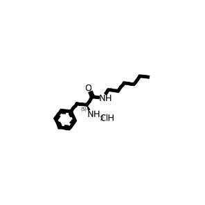 CCCCCCNC(=O)[C@@H](N)Cc1ccccc1.Cl